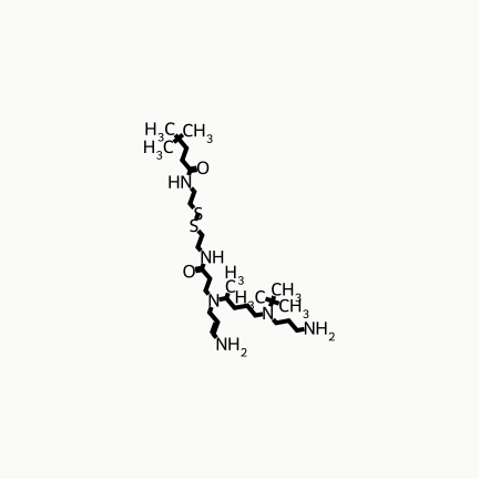 CC(CCCN(CCCN)C(C)(C)C)N(C/C=C/N)CCC(=O)NCCSSCCNC(=O)CCC(C)(C)C